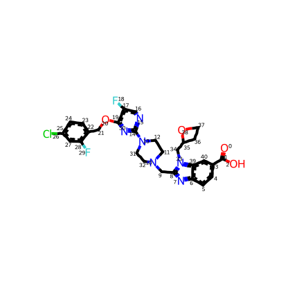 O=C(O)c1ccc2nc(CN3CCN(c4ncc(F)c(OCc5ccc(Cl)cc5F)n4)CC3)n(CC3CCO3)c2c1